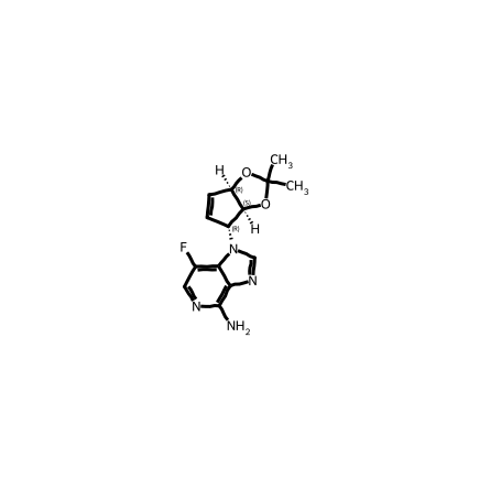 CC1(C)O[C@H]2[C@H](n3cnc4c(N)ncc(F)c43)C=C[C@H]2O1